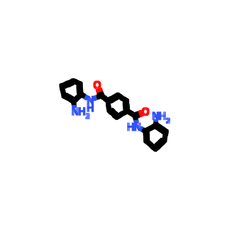 Nc1ccccc1NC(=O)c1ccc(C(=O)Nc2ccccc2N)cc1